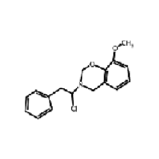 COc1cccc2c1OCN(C(Cl)Cc1ccccc1)C2